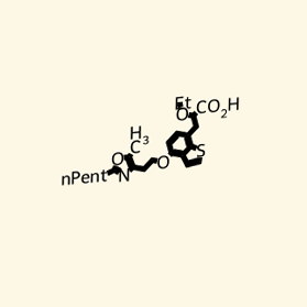 CCCCCc1nc(CCOc2ccc(CC(OCC)C(=O)O)c3sccc23)c(C)o1